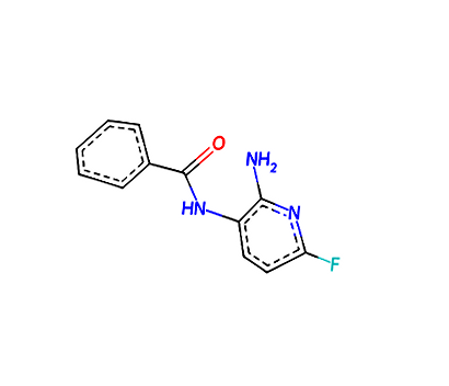 Nc1nc(F)ccc1NC(=O)c1ccccc1